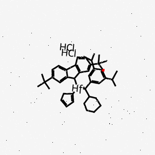 CC(C)c1cc(/[C](C2CCCCC2)=[Hf](/[C]2=CC=CC2)[CH]2c3cc(C(C)(C)C)ccc3-c3ccc(C(C)(C)C)cc32)cc(C(C)C)c1.Cl.Cl